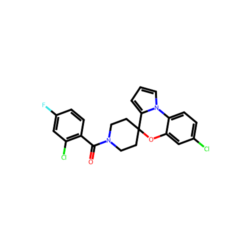 O=C(c1ccc(F)cc1Cl)N1CCC2(CC1)Oc1cc(Cl)ccc1-n1cccc12